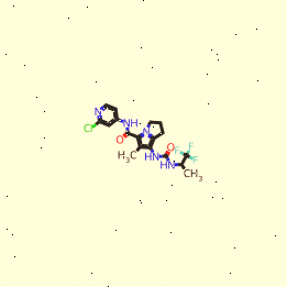 Cc1c(NC(=O)NC(C)C(F)(F)F)c2n(c1C(=O)Nc1ccnc(Cl)c1)CCC2